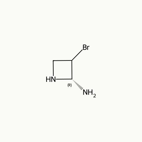 N[C@@H]1NCC1Br